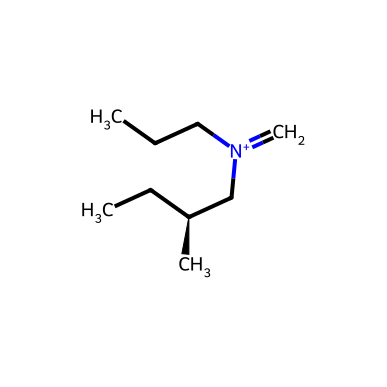 C=[N+](CCC)C[C@@H](C)CC